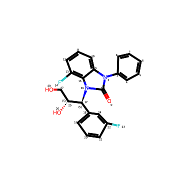 O=c1n(-c2ccccc2)c2cccc(F)c2n1[C@@H](c1cccc(F)c1)[C@H](O)CO